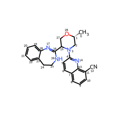 C[C@@H]1CN(c2ccc3cccc(C#N)c3n2)C(C2=Nc3ccccc3CCN2)CO1